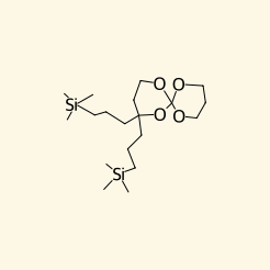 C[Si](C)(C)CCCC1(CCC[Si](C)(C)C)CCOC2(OCCCO2)O1